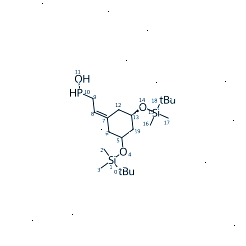 CC(C)(C)[Si](C)(C)OC1C/C(=C/CPO)C[C@@H](O[Si](C)(C)C(C)(C)C)C1